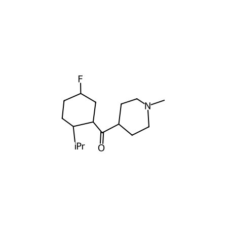 CC(C)C1CCC(F)CC1C(=O)C1CCN(C)CC1